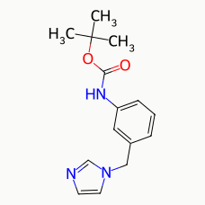 CC(C)(C)OC(=O)Nc1cccc(Cn2ccnc2)c1